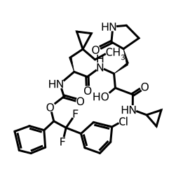 CCC1(C[C@H](NC(=O)OC(c2ccccc2)C(F)(F)c2cccc(Cl)c2)C(=O)N[C@@H](C[C@@H]2CCNC2=O)C(O)C(=O)NC2CC2)CC1